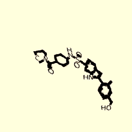 Cc1cc(CO)ccc1-c1cc2ccc(S(=O)(=O)NC3CCC(C(=O)N4CCCCC4)CC3)cc2[nH]1